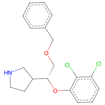 Clc1cccc(O[C@@H](COCc2ccccc2)C2CCNC2)c1Cl